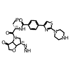 CC(C)C[C@H](NC(=O)c1ccc(-c2csc(N3CCNCC3)n2)cc1)C(=O)N1C[C@@H](N=N)C2OCC(=O)C21